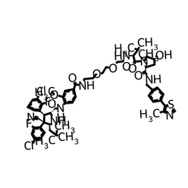 COc1cc(C(=O)NCCOCCOCC(=O)N[C@H](C(=O)N2C[C@H](O)C[C@H]2C(=O)NCc2ccc(-c3scnc3C)cc2)C(C)(C)C)ccc1NC(=O)[C@@H]1N[C@@H](CC(C)(C)C)[C@](C#N)(c2ccc(Cl)cc2F)[C@H]1c1cccc(Cl)c1F